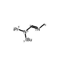 CN=CN(C(C)C)C(C)(C)C